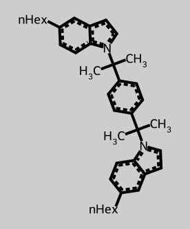 CCCCCCc1ccc2c(ccn2C(C)(C)c2ccc(C(C)(C)n3ccc4cc(CCCCCC)ccc43)cc2)c1